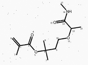 C=C(C)C(=O)OC(C)(C)CCOC(C)C(=O)NC